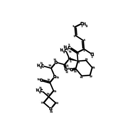 C=C(/C(Cl)=C\C=C/C)[C@]1(N(C)C(=O)OC(C)OC(=O)CC2(C)COC2)CCCCC1=O